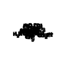 C=C[C@H](NP(=O)(N[C@@H](C)C(=O)OCC)OC[C@H]1O[C@@](C#N)(C2C(C)C=C3C(N)=NC=NN32)[C@H](O)[C@@H]1O)C(=O)OCC